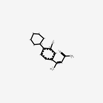 CC(=O)/C=C(/C)c1ccc(C2CCCCC2)c(Cl)c1